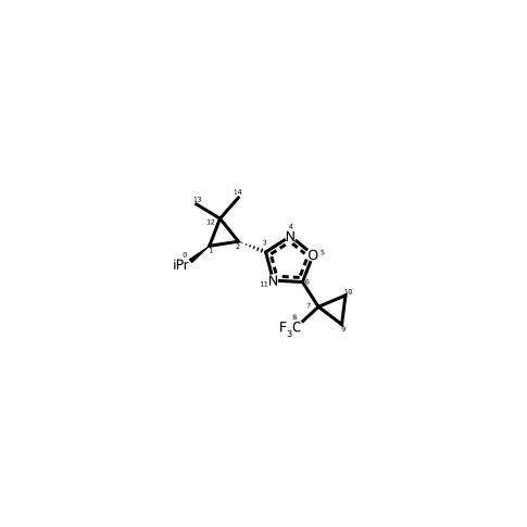 CC(C)[C@@H]1[C@@H](c2noc(C3(C(F)(F)F)CC3)n2)C1(C)C